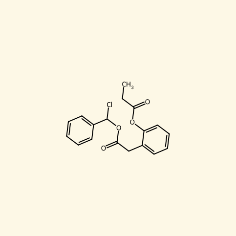 CCC(=O)Oc1ccccc1CC(=O)OC(Cl)c1ccccc1